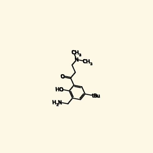 CN(C)CCC(=O)c1cc(C(C)(C)C)cc(CN)c1O